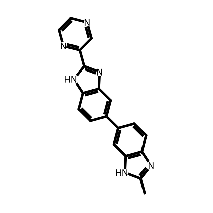 Cc1nc2ccc(-c3ccc4[nH]c(-c5cnccn5)nc4c3)cc2[nH]1